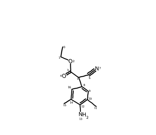 CCOC(=O)C(C#N)c1cc(C)c(N)c(C)c1